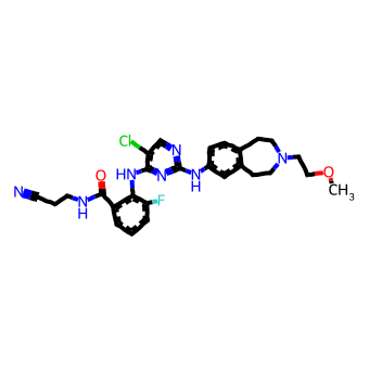 COCCN1CCc2ccc(Nc3ncc(Cl)c(Nc4c(F)cccc4C(=O)NCCC#N)n3)cc2CC1